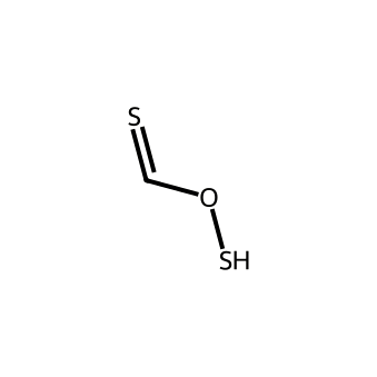 S=COS